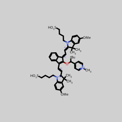 COc1ccc2c(c1)C(C)(C)C(/C=C/C1=C(OC(c3cc[n+](C)cc3)C(C)(C)C)C(=C/C=C3/N(CCCCS(=O)(=O)O)c4ccc(OC)cc4C3(C)C)/c3ccccc31)=[N+]2CCCCS(=O)(=O)O